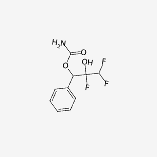 NC(=O)OC(c1ccccc1)C(O)(F)C(F)F